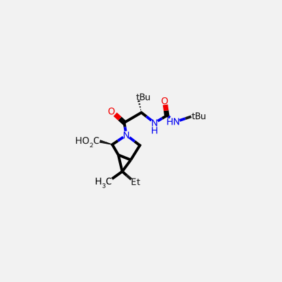 CCC1(C)C2CN(C(=O)[C@@H](NC(=O)NC(C)(C)C)C(C)(C)C)[C@H](C(=O)O)C21